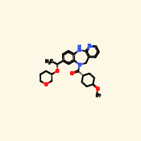 CC(C)O[C@H]1CC[C@H](C(=O)N2Cc3cccnc3Nc3ccc(C(C)OC4CCCOC4)cc32)CC1